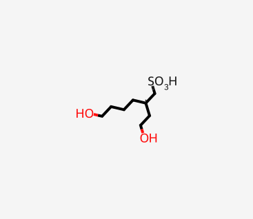 O=S(=O)(O)C[C](CCO)CCCCO